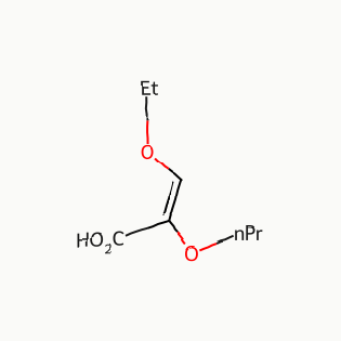 CCCOC(=COCC)C(=O)O